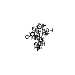 O=C(Nc1ccc(Cl)cc1C(=O)Nc1ccccn1)C1=CCNCC1.O=C(O)C(F)(F)F.O=C(O)C(F)(F)F